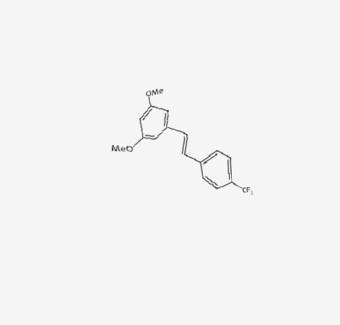 COc1cc(/C=C/c2ccc(C(F)(F)F)cc2)cc(OC)c1